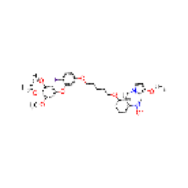 COc1cc(Oc2cc(OCCCCCOC3CCC=C4[C@@H]3Cn3ccc(OC)c3C=[N+]4[O-])ccc2I)cc(OC)c1OC